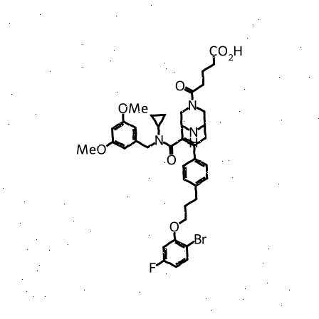 COc1cc(CN(C(=O)C2=C(c3ccc(CCCOc4cc(F)ccc4Br)cc3)CC3CN(C(=O)CCCC(=O)O)CC2N3)C2CC2)cc(OC)c1